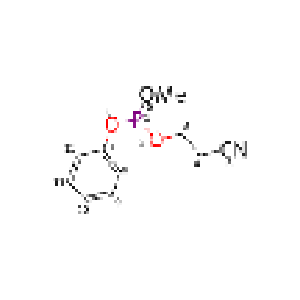 COP(OCCC#N)Oc1ccccc1